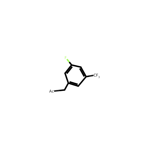 CC(=O)Cc1cc(F)cc(C(F)(F)F)c1